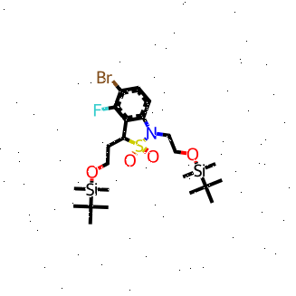 CC(C)(C)[Si](C)(C)OCCC1c2c(ccc(Br)c2F)N(CCO[Si](C)(C)C(C)(C)C)S1(=O)=O